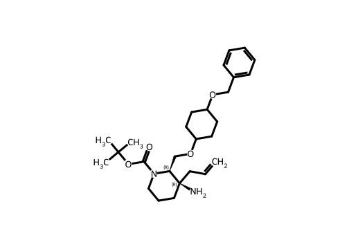 C=CC[C@]1(N)CCCN(C(=O)OC(C)(C)C)[C@H]1COC1CCC(OCc2ccccc2)CC1